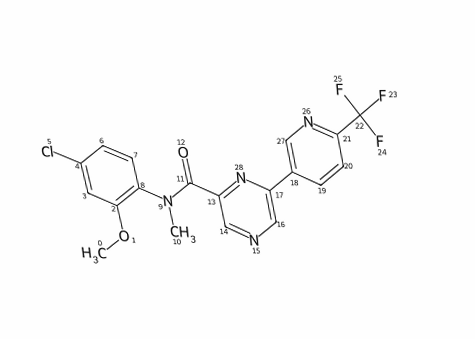 COc1cc(Cl)ccc1N(C)C(=O)c1cncc(-c2ccc(C(F)(F)F)nc2)n1